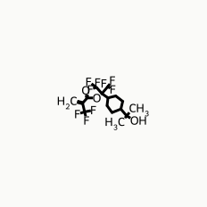 C=C(C(=O)OC(C1CCC(C(C)(C)O)CC1)(C(F)(F)F)C(F)(F)F)C(F)(F)F